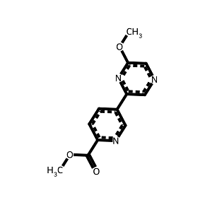 COC(=O)c1ccc(-c2cncc(OC)n2)cn1